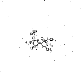 CCOC(=O)C(CC(C)C)c1cc(Cl)c(N)c(OCC(F)(F)F)c1